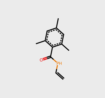 C=CPC(=O)c1c(C)cc(C)cc1C